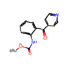 CC(C)(C)OC(=O)Nc1ccccc1C(=O)c1ccncc1